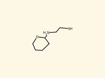 SCC[SiH2]C1CCCCO1